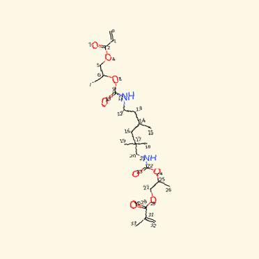 C=CC(=O)OCC(C)OC(=O)NCCC(C)CC(C)(C)CNC(=O)OC(C)COC(=O)C(=C)C